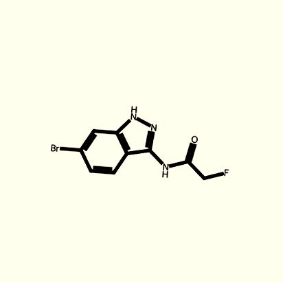 O=C(CF)Nc1n[nH]c2cc(Br)ccc12